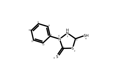 S=C1SC(S)NN1c1ccccc1